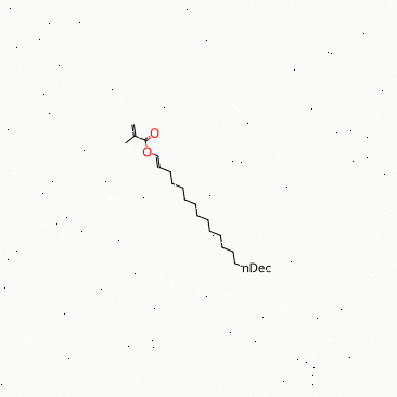 C=C(C)C(=O)OC=CCCCCCCCCCCCCCCCCCCCCCC